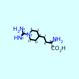 N=C(N)N1CCC(CC[C@H](N)C(=O)O)CC1